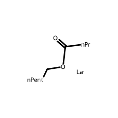 CCCCCCOC(=O)CCC.[La]